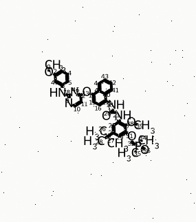 COc1cccc(Nc2nccc(Oc3ccc(NC(=O)Nc4cc(C(C)(C)C)cc(OCP(C)(C)=O)c4OC)c4ccccc34)n2)c1